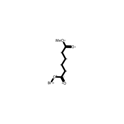 COC(=O)CCCCC(=O)OBr